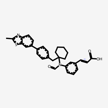 Cc1nc2ccc(-c3ccc(CC4(N(C=O)c5cccc(/C=C/C(=O)O)c5)CCCCC4)cc3)cc2s1